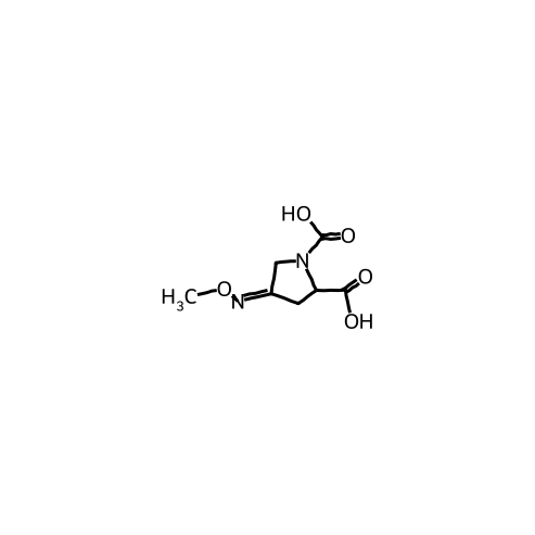 CO/N=C1/CC(C(=O)O)N(C(=O)O)C1